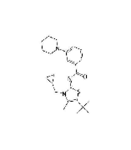 Cc1c(C(C)(C)C)s/c(=N\C(=O)c2cccc(N3CCCCC3)c2)n1CC1CC1